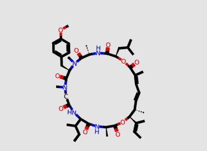 C/C=C(\C)[C@H]1OC(=O)[C@@H](C)NC(=O)C(C(C)CC)NC(=O)CN(C)C(=O)[C@@H](Cc2ccc(OC)cc2)N(C)C(=O)[C@H](C)NC(=O)[C@@H](CC(C)C)OC(=O)/C(C)=C/C=C/[C@@H]1C